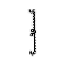 CCCCCCCCCCCCCCC(=O)OC([C]=O)CCCCCCCCCCCCCC